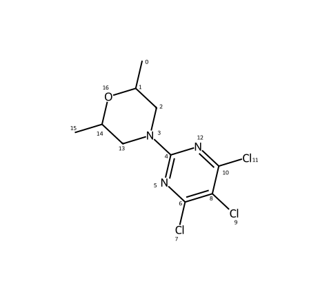 CC1CN(c2nc(Cl)c(Cl)c(Cl)n2)CC(C)O1